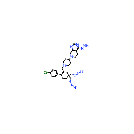 [N-]=[N+]=NCC1(CN=[N+]=[N-])CCC(c2ccc(Cl)cc2)=C(CN2CCC(N3CCc4c(ncnc4N=N)C3)CC2)C1